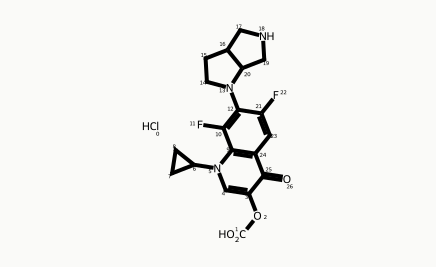 Cl.O=C(O)Oc1cn(C2CC2)c2c(F)c(N3CCC4CNCC43)c(F)cc2c1=O